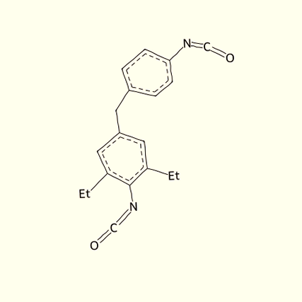 CCc1cc(Cc2ccc(N=C=O)cc2)cc(CC)c1N=C=O